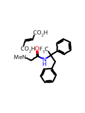 CNCC(=O)NC(Cc1ccccc1)(c1ccccc1)C(F)(F)F.O=C(O)C=CC(=O)O